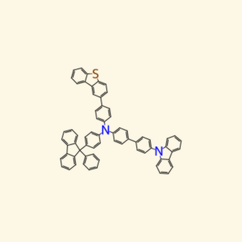 c1ccc(C2(c3ccc(N(c4ccc(-c5ccc(-n6c7ccccc7c7ccccc76)cc5)cc4)c4ccc(-c5ccc6sc7ccccc7c6c5)cc4)cc3)c3ccccc3-c3ccccc32)cc1